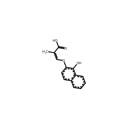 CC(=COc1ccc2ccccc2c1O)C(=O)O